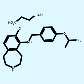 CC(Oc1ccc(CNc2c(Cl)ccc3c2CCNCC3)cc1)C(F)(F)F.O=C(O)CCC(=O)O